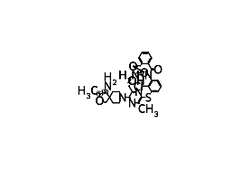 Cc1nc(N2CCC3(CC2)CO[C@@H](C)[C@H]3N)c(CO)nc1Sc1cccc(NC(=O)c2ccccc2S(N)(=O)=O)c1Cl